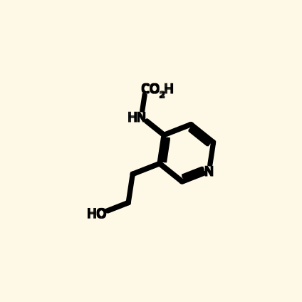 O=C(O)Nc1ccncc1CCO